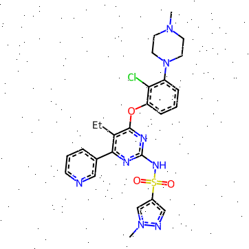 CCc1c(Oc2cccc(N3CCN(C)CC3)c2Cl)nc(NS(=O)(=O)c2cnn(C)c2)nc1-c1cccnc1